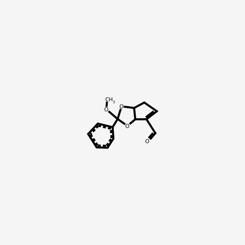 COC1(c2ccccc2)OC2CC=C(C=O)C2O1